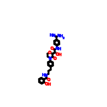 N=C(N)c1ccc(NC(=O)[C@H](O)[C@H]2OCCN(c3ccc(CCCNC(=O)c4ccccc4O)cc3)C2=O)cc1